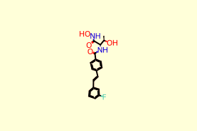 C[C@@H](O)[C@H](NC(=O)c1ccc(/C=C/c2cccc(F)c2)cc1)C(=O)NO